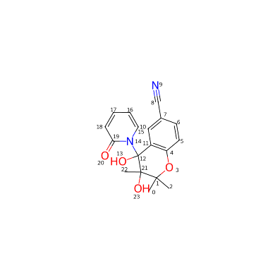 CC1(C)Oc2ccc(C#N)cc2C(O)(n2ccccc2=O)C1(C)O